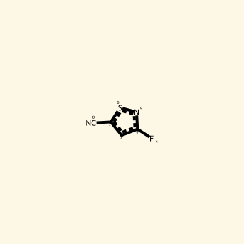 N#Cc1cc(F)ns1